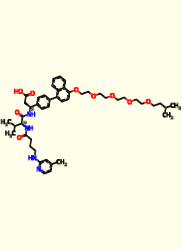 Cc1ccnc(NCCCC(=O)N[C@H](C(=O)N[C@@H](CC(=O)O)c2ccc(-c3ccc(OCCOCCOCCOCCOCCC(C)C)c4ccccc34)cc2)C(C)C)c1